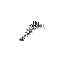 CN(C)CCCOc1ccc2[nH]c(-c3c[c]c(C(N)=O)[nH]c3=O)cc2c1